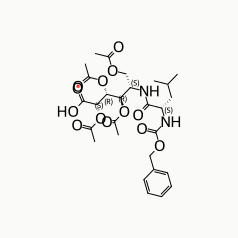 CC(=O)OC[C@H](NC(=O)[C@H](CC(C)C)NC(=O)OCc1ccccc1)[C@@H](OC(C)=O)[C@@H](OC(C)=O)[C@H](OC(C)=O)C(=O)O